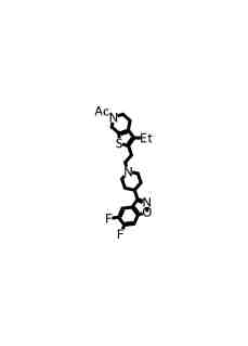 CCc1c(CCN2CCC(c3noc4cc(F)c(F)cc34)CC2)sc2c1CCN(C(C)=O)C2